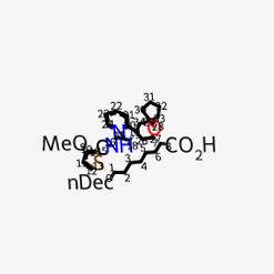 CCCCCCCCCCCCCCCCCC(=O)O.COc1ccsc1CNCC[C@@]1(c2ccccn2)CCOC2(CCCC2)C1